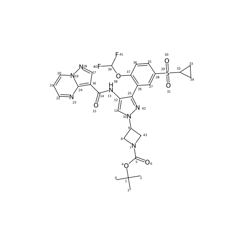 CC(C)(C)OC(=O)N1CC(n2cc(NC(=O)c3cnn4cccnc34)c(-c3cc(S(=O)(=O)C4CC4)ccc3OC(F)F)n2)C1